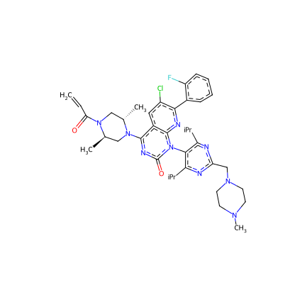 C=CC(=O)N1C[C@H](C)N(c2nc(=O)n(-c3c(C(C)C)nc(CN4CCN(C)CC4)nc3C(C)C)c3nc(-c4ccccc4F)c(Cl)cc23)C[C@H]1C